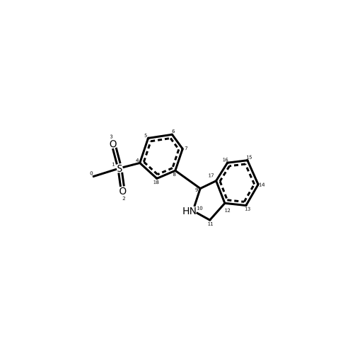 CS(=O)(=O)c1cccc(C2NCc3ccccc32)c1